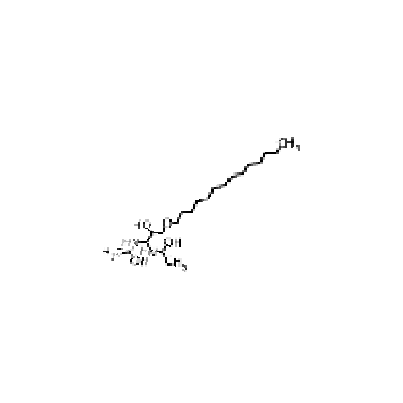 CCCCCCCCCCCCCCOCC(O)C(NC(C)O)NC(C)O